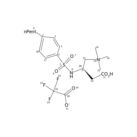 CCCCCc1ccc(S(=O)(=O)N[C@H](CC(=O)O)C[N+](C)(C)C)cc1.O=C([O-])C(F)(F)F